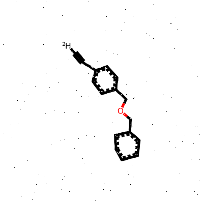 [2H]C#Cc1ccc(COCc2ccccc2)cc1